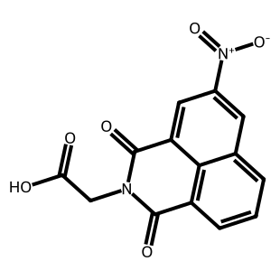 O=C(O)CN1C(=O)c2cccc3cc([N+](=O)[O-])cc(c23)C1=O